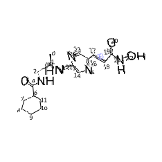 C[C@H](CNC(=O)C1CCCCC1)Nc1cnc(/C=C/C(=O)NO)cn1